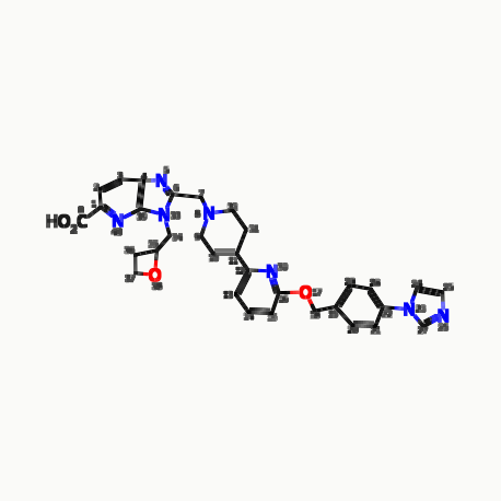 O=C(O)c1ccc2nc(CN3CC=C(c4cccc(OCc5ccc(-n6ccnc6)cc5)n4)CC3)n(CC3CCO3)c2n1